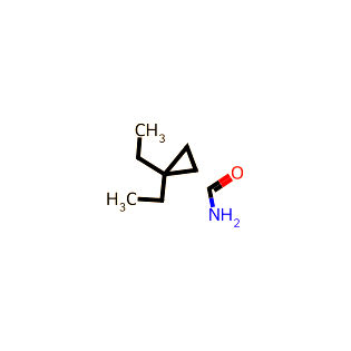 CCC1(CC)CC1.NC=O